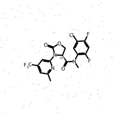 Cc1cc(C(F)(F)F)cc(N2C(=O)OC[C@H]2C(=O)N(C)c2cc(Cl)c(F)cc2F)n1